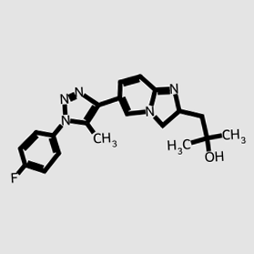 Cc1c(C2=CN3CC(CC(C)(C)O)N=C3C=C2)nnn1-c1ccc(F)cc1